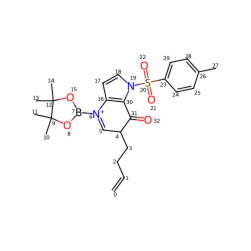 C=CCCC1C=[N+](B2OC(C)(C)C(C)(C)O2)c2ccn(S(=O)(=O)c3ccc(C)cc3)c2C1=O